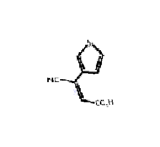 N#C/C(=C/C(=O)O)c1ccsc1